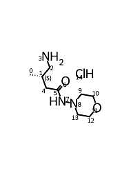 C[C@H](CN)CC(=O)NN1CCOCC1.Cl